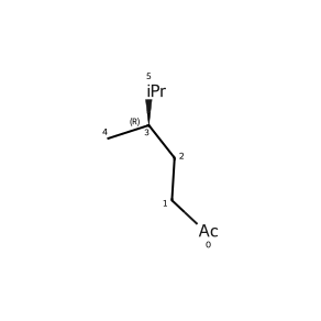 CC(=O)CC[C@@H](C)C(C)C